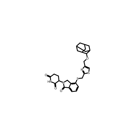 O=C1CCC(N2Cc3c(SCc4nc(COC5C6CC7CC(C6)CC5C7)cs4)cccc3C2=O)C(=O)N1